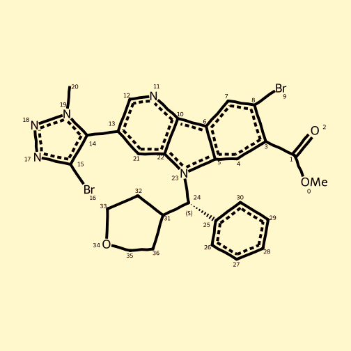 COC(=O)c1cc2c(cc1Br)c1ncc(-c3c(Br)nnn3C)cc1n2[C@H](c1ccccc1)C1CCOCC1